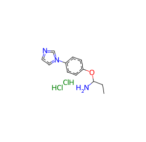 CCC(N)Oc1ccc(-n2ccnc2)cc1.Cl.Cl